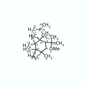 COC(C)(C)[C@@]1(C)CC(C)(C)C(C)(C)C(C)(F)[C@]1(C)OP(C)C